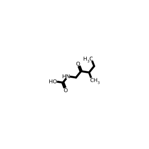 CCC(C)C(=O)CNC(=O)O